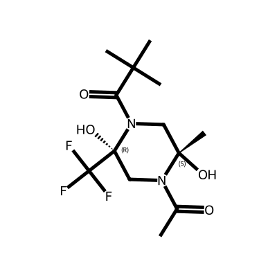 CC(=O)N1C[C@@](O)(C(F)(F)F)N(C(=O)C(C)(C)C)C[C@]1(C)O